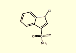 NS(=O)(=O)c1cn(Cl)c2ccccc12